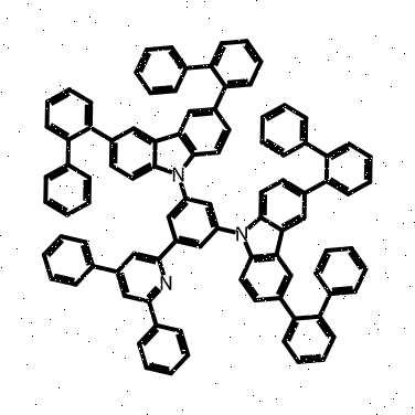 c1ccc(-c2cc(-c3ccccc3)nc(-c3cc(-n4c5ccc(-c6ccccc6-c6ccccc6)cc5c5cc(-c6ccccc6-c6ccccc6)ccc54)cc(-n4c5ccc(-c6ccccc6-c6ccccc6)cc5c5cc(-c6ccccc6-c6ccccc6)ccc54)c3)c2)cc1